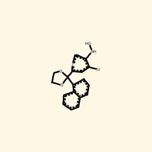 CCc1cc(C2(c3cccc4ccccc34)OCCO2)ccc1NO